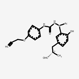 C#CCOc1ccc(NC(=O)NN(C(C)=O)c2cc(C[C@H](C)C=O)ccc2O)cc1